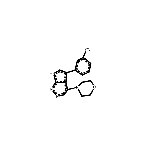 N#Cc1cccc(-c2c[nH]c3nncc(N4CCOCC4)c23)c1